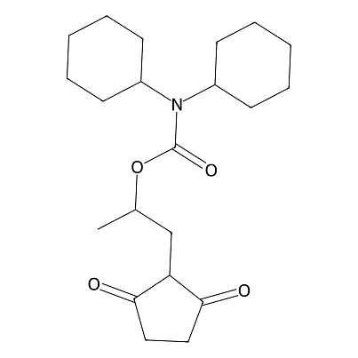 CC(CC1C(=O)CCC1=O)OC(=O)N(C1CCCCC1)C1CCCCC1